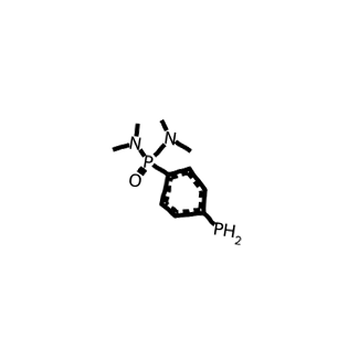 CN(C)P(=O)(c1ccc(P)cc1)N(C)C